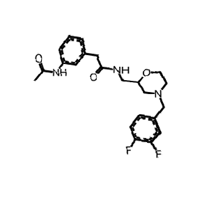 CC(=O)Nc1cccc(CC(=O)NCC2CN(Cc3ccc(F)c(F)c3)CCO2)c1